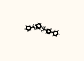 O=C(Nc1ccc2oc(-c3ccccc3)nc2c1)c1ccc(-c2ccccc2)cc1